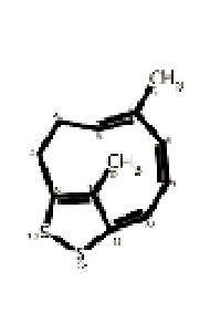 CC1=C2CC/C=C(C)/C=C\C=C/1SS2